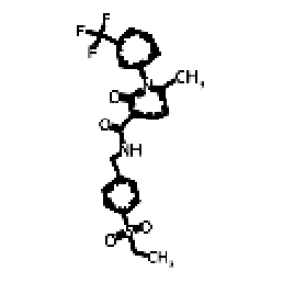 CCS(=O)(=O)c1ccc(CNC(=O)c2ccc(C)n(-c3cccc(C(F)(F)F)c3)c2=O)cc1